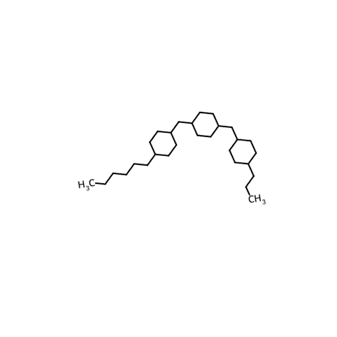 CCCCCCC1CCC(CC2CCC(CC3CCC(CCC)CC3)CC2)CC1